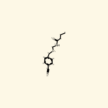 CCCC(=O)NCOCc1ccc(C#N)cc1